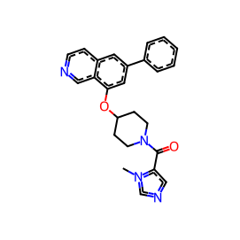 Cn1cncc1C(=O)N1CCC(Oc2cc(-c3ccccc3)cc3ccncc23)CC1